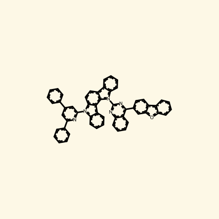 c1ccc(-c2cc(-c3ccccc3)nc(-n3c4ccccc4c4c3ccc3c5ccccc5n(-c5nc(-c6ccc7c(c6)oc6ccccc67)c6ccccc6n5)c34)c2)cc1